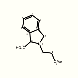 COCCN1Cc2ccccc2C1C(=O)O